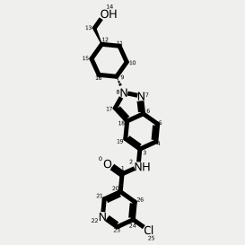 O=C(Nc1ccc2nn([C@H]3CC[C@H](CO)CC3)cc2c1)c1cncc(Cl)c1